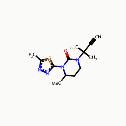 C#CC(C)(C)N1CCC(OC)N(c2nnc(C(F)(F)F)s2)C1=O